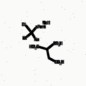 CCCCC[C]([Na])(CC)CC.O=C(O)CC(C(=O)O)S(=O)(=O)O.[NaH]